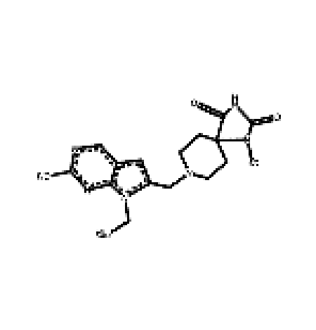 CCN1C(=O)NC(=O)C12CCN(Cc1cc3cnc(C#N)nc3n1CC(C)(C)C)CC2